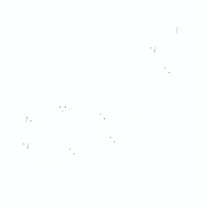 CC#Cn1c(=O)n(Cc2ccc(-c3nc(C(F)(F)F)cn3C)cc2)c2cc(-c3c(OC)ncnc3C3CC3)ncc21